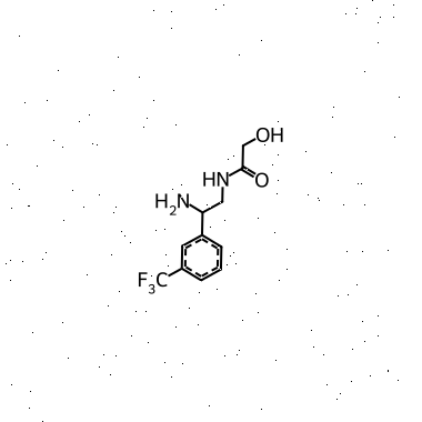 NC(CNC(=O)CO)c1cccc(C(F)(F)F)c1